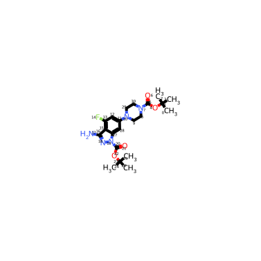 CC(C)(C)OC(=O)N1CCN(c2cc(F)c3c(N)nn(C(=O)OC(C)(C)C)c3c2)CC1